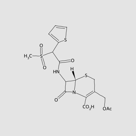 CC(=O)OCC1=C(C(=O)O)N2C(=O)C(NC(=O)C(c3cccs3)S(C)(=O)=O)[C@@H]2SC1